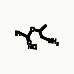 CC(CN)OC(=O)C(C)C.Cl